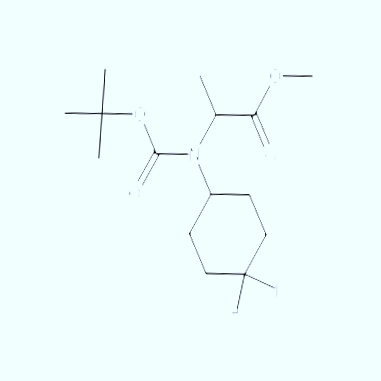 COC(=O)C(C)N(C(=O)OC(C)(C)C)C1CCC(F)(F)CC1